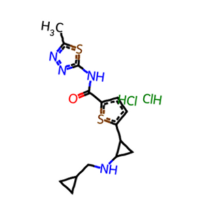 Cc1nnc(NC(=O)c2ccc(C3CC3NCC3CC3)s2)s1.Cl.Cl